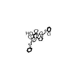 O=C1c2c(O)c(=O)nc(C3CCCN3C(=O)CSc3ccccc3Cl)n2CCN1CCSc1ccccc1